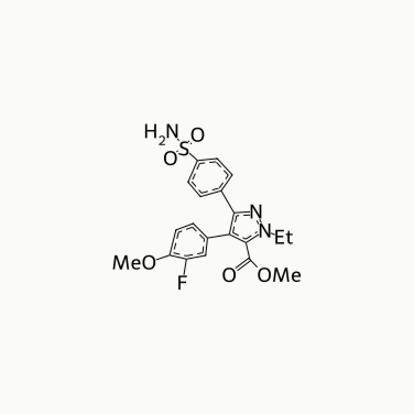 CCn1nc(-c2ccc(S(N)(=O)=O)cc2)c(-c2ccc(OC)c(F)c2)c1C(=O)OC